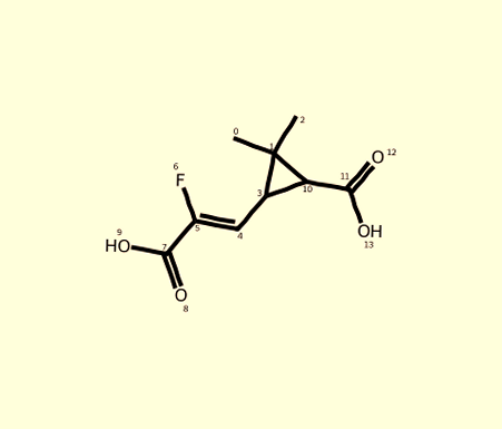 CC1(C)C(C=C(F)C(=O)O)C1C(=O)O